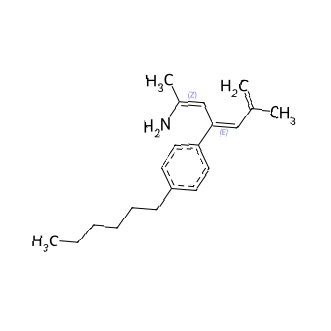 C=C(C)/C=C(\C=C(\C)N)c1ccc(CCCCCC)cc1